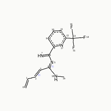 C=C/C=C/C(=N\C(=N)c1cccc(C(F)(F)F)n1)NC